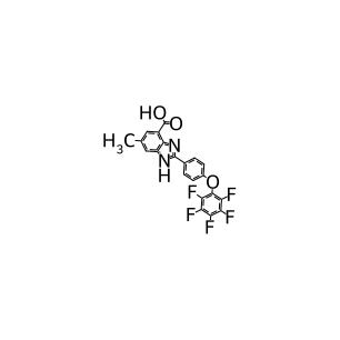 Cc1cc(C(=O)O)c2nc(-c3ccc(Oc4c(F)c(F)c(F)c(F)c4F)cc3)[nH]c2c1